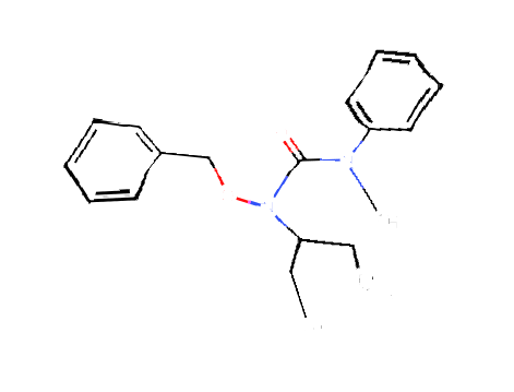 CCC(CC)N(OCc1ccccc1)C(=O)N(C)c1ccccc1